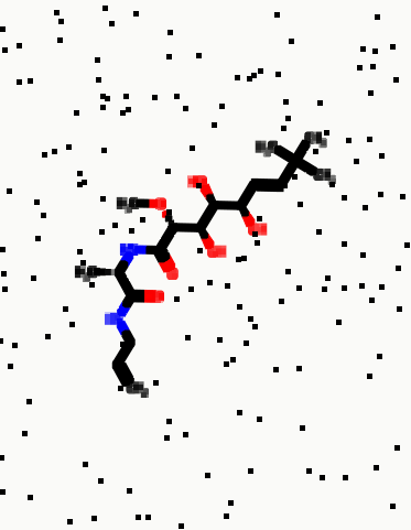 C=CCNC(=O)[C@H](C)NC(=O)[C@H](OC)[C@H](O)[C@@H](O)[C@H](O)/C=C/C(C)(C)C